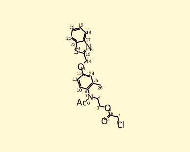 CC(=O)N(CCOC(=O)CCl)c1ccc(OCc2nc3ccccc3s2)cc1C